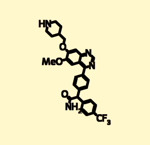 COc1cc2c(-c3ccc(C(C(N)=O)c4ccc(C(F)(F)F)cc4)cc3)ncnc2cc1OCC1CCNCC1